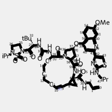 C=CCNC(=O)[C@@]12CC1/C=C\CCCCC[C@H](NC(=O)N[C@H](C(=O)N1CCN(C(C)C)S1(=O)=O)C(C)(C)C)C(=O)N1C[C@H](Oc3cc(-c4csc(NC(C)C)n4)nc4cc(OC)ccc34)C[C@H]1C(=O)N2